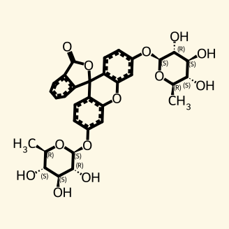 C[C@H]1O[C@@H](Oc2ccc3c(c2)Oc2cc(O[C@@H]4O[C@H](C)[C@@H](O)[C@H](O)[C@H]4O)ccc2C32OC(=O)c3ccccc32)[C@H](O)[C@@H](O)[C@@H]1O